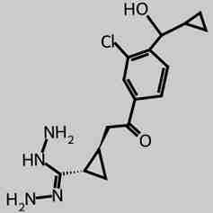 N/N=C(\NN)[C@H]1C[C@@H]1CC(=O)c1ccc(C(O)C2CC2)c(Cl)c1